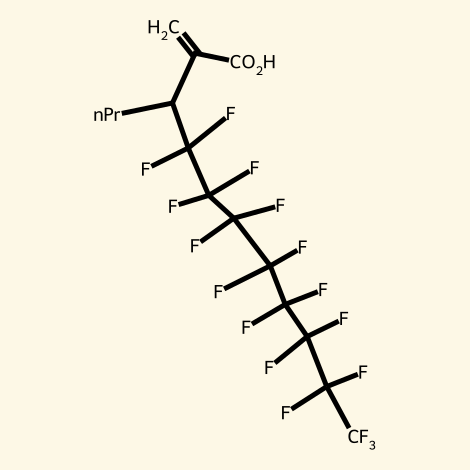 C=C(C(=O)O)C(CCC)C(F)(F)C(F)(F)C(F)(F)C(F)(F)C(F)(F)C(F)(F)C(F)(F)C(F)(F)F